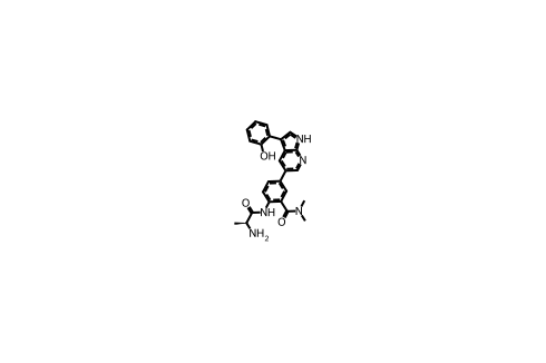 C[C@H](N)C(=O)Nc1ccc(-c2cnc3[nH]cc(-c4ccccc4O)c3c2)cc1C(=O)N(C)C